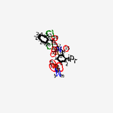 CC(C)c1cc(OS(=O)(=O)N(C)C)cc2c1C(=O)N(COC(=O)c1c(Cl)cccc1Cl)S2(=O)=O